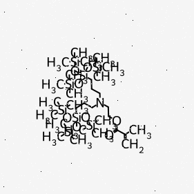 C=C(C)C(=O)OCCN(CCC[Si](O[Si](C)(C)C)(O[Si](C)(C)C)O[Si](C)(C)C)CCC[Si](O[Si](C)(C)C)(O[Si](C)(C)C)O[Si](C)(C)C